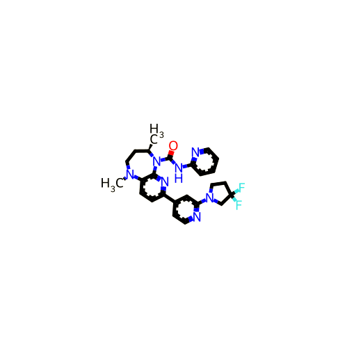 C[C@@H]1CCN(C)c2ccc(-c3ccnc(N4CCC(F)(F)C4)c3)nc2N1C(=O)Nc1ccccn1